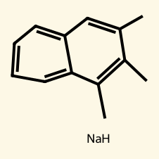 Cc1cc2ccccc2c(C)c1C.[NaH]